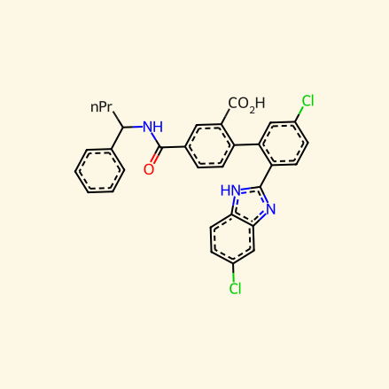 CCCC(NC(=O)c1ccc(-c2cc(Cl)ccc2-c2nc3cc(Cl)ccc3[nH]2)c(C(=O)O)c1)c1ccccc1